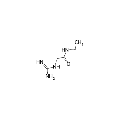 CCNC(=O)CNC(=N)N